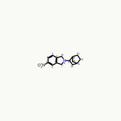 O=[N+]([O-])c1ccc2c(c1)CN(C1CC3CCC1C3)C2